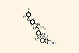 C[C@@H](C(=O)Nc1cnc(Oc2ccc(F)cc2F)cn1)N1CCN(C(=O)[C@H]2CCn3nc(CO)nc3C2)C(C)(C)C1